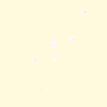 Cc1ccc([C@@](O)(C(=O)O[C@H]2CC[C@H](N(C)CCCNc3c(N=N)cc(CNC[C@H](O)c4ccc(O)c5[nH]c(=O)ccc45)c4c3OCO4)CC2)c2cccs2)s1